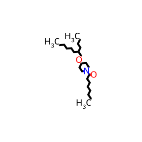 CCCCCCCC(=O)N1CCC(OCC(CCCC)CCCCCC)CC1